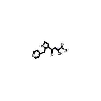 O=C(O)/C(O)=C/C(=O)c1cc[nH]c1Cc1ccncc1